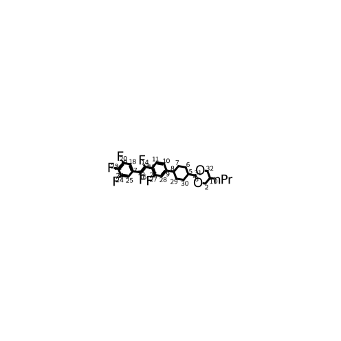 CCCC1COC(C2CCC(c3ccc(/C(F)=C(\F)c4cc(F)c(F)c(F)c4)c(F)c3)CC2)OC1